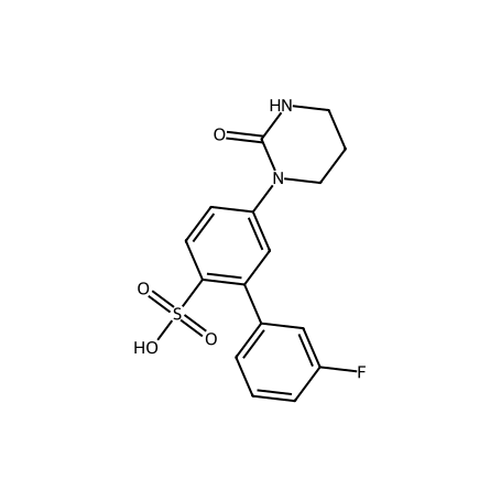 O=C1NCCCN1c1ccc(S(=O)(=O)O)c(-c2cccc(F)c2)c1